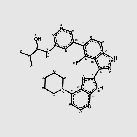 CC(C)C(O)Nc1cncc(-c2ccc3[nH]nc(-c4nc5c(N6CCCCC6)ccnc5[nH]4)c3c2F)c1